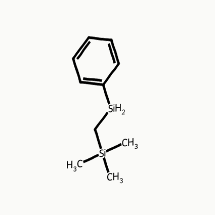 C[Si](C)(C)C[SiH2]c1ccccc1